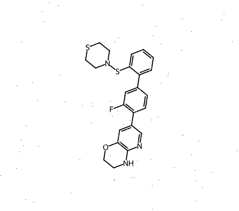 Fc1cc(-c2ccccc2SN2CCSCC2)ccc1-c1cnc2c(c1)OCCN2